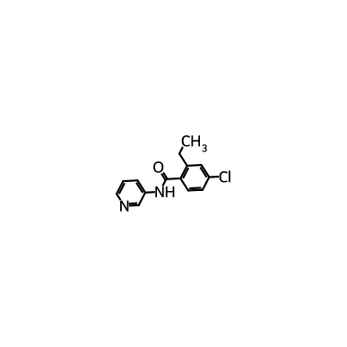 CCc1cc(Cl)ccc1C(=O)Nc1cccnc1